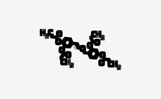 C=CC(=O)Oc1ccc(CO/C=C/c2ccc(OC(=O)C=C)c(OC(=O)C=C)c2)c(OC(=O)C=C)c1